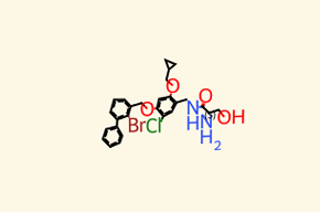 N[C@@H](CO)C(=O)NCc1cc(Cl)c(OCc2cccc(-c3ccccc3)c2Br)cc1OCC1CC1